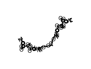 CCN(CC)c1ccc2c(C(CNC(=O)c3ccc(-n4cc(COCCOCC(C)OCCOCc5cn(-c6ccc(C(=O)NCC(OC(C)=O)c7cc(=O)oc8cc(N(CC)CC)ccc78)cc6)nn5)nn4)cc3)OC(C)=O)cc(=O)oc2c1